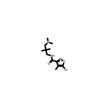 CCc1onc(C(=O)NCC(C)(C)CN(C)C)c1C